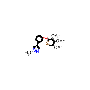 CC(=O)O[C@@H]1[C@@H](OC(C)=O)[C@H](OC(C)=O)CS[C@H]1Oc1cccc(-c2cnn(C)c2)c1